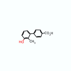 Cc1c(O)cccc1-c1ccc(C(=O)O)cc1